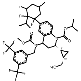 COC(=O)N(Cc1cc(C(F)(F)F)cc(C(F)(F)F)c1)C1CC([C@@H]2C[C@@H]2CO)N(C(=O)OC(C)C)c2ccc(C3(F)CC(C)CC(F)C3(F)C(C)C)cc21